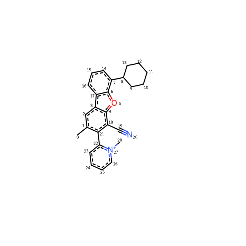 Cc1cc2c(oc3c(C4CCCCC4)cccc32)c(C#N)c1-c1cccc[n+]1C